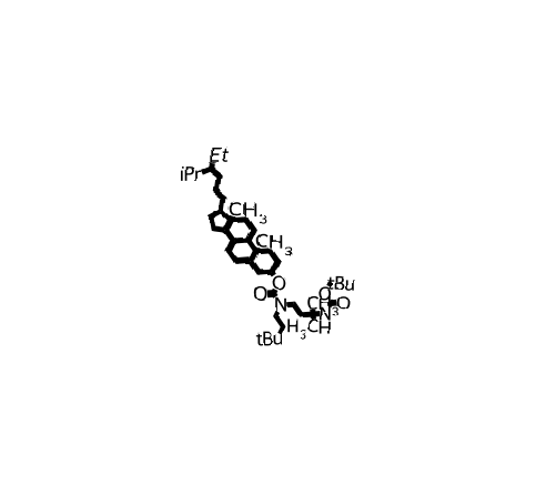 CCC(CCCC1CCC2C3CC=C4CC(OC(=O)N(CCC(C)(C)C)CCC(C)(C)NC(=O)OC(C)(C)C)CCC4(C)C3CCC12C)C(C)C